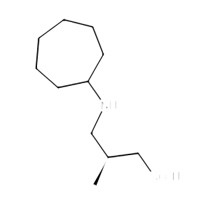 C[C@@H](CNC1CCCCCC1)CS(=O)(=O)O